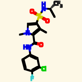 Cc1c(S(=O)(=O)N[C@@H](C)C(F)(F)F)cn(C)c1C(=O)Nc1ccc(F)c(Cl)c1